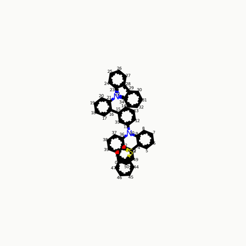 c1ccc(-c2ccccc2N(c2cccc(-c3ccccc3-n3c4ccccc4c4ccccc43)c2)c2cccc3c2sc2ccccc23)cc1